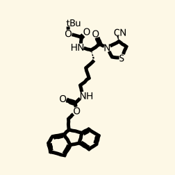 CC(C)(C)OC(=O)N[C@@H](CCCCNC(=O)OCC1c2ccccc2-c2ccccc21)C(=O)N1CSC[C@H]1C#N